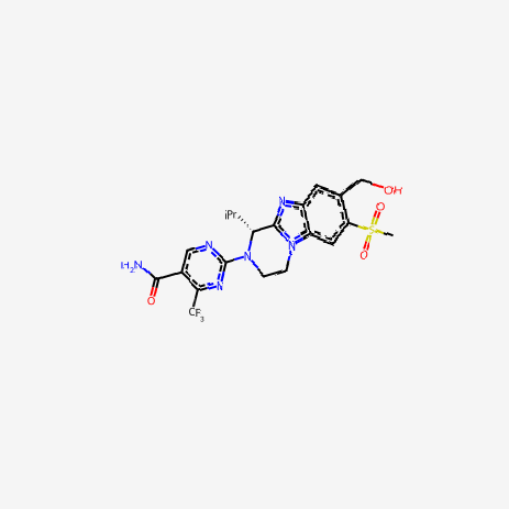 CC(C)[C@@H]1c2nc3cc(CO)c(S(C)(=O)=O)cc3n2CCN1c1ncc(C(N)=O)c(C(F)(F)F)n1